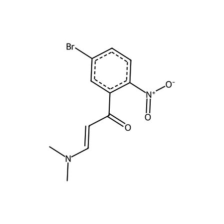 CN(C)/C=C/C(=O)c1cc(Br)ccc1[N+](=O)[O-]